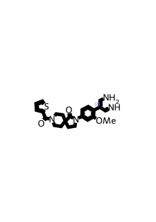 COc1cc(N2CCC3(CCN(C(=O)c4cccs4)CC3)C2=O)ccc1/C(C=N)=C/N